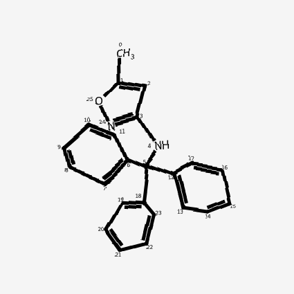 Cc1cc(NC(c2ccccc2)(c2ccccc2)c2ccccc2)no1